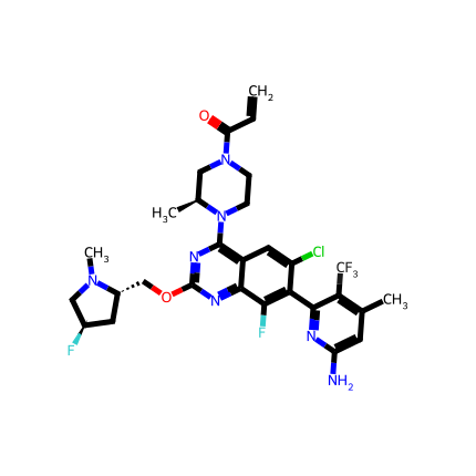 C=CC(=O)N1CCN(c2nc(OC[C@@H]3C[C@@H](F)CN3C)nc3c(F)c(-c4nc(N)cc(C)c4C(F)(F)F)c(Cl)cc23)[C@@H](C)C1